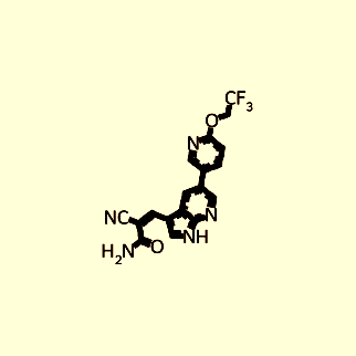 N#CC(=Cc1c[nH]c2ncc(-c3ccc(OCC(F)(F)F)nc3)cc12)C(N)=O